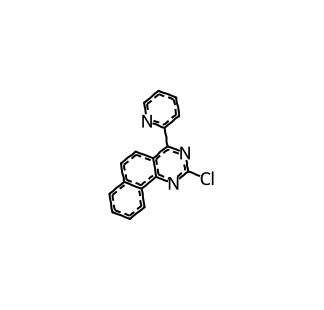 Clc1nc(-c2ccccn2)c2ccc3ccccc3c2n1